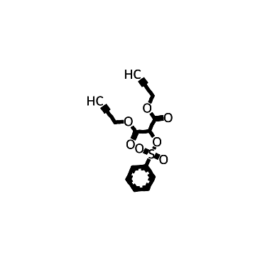 C#CCOC(=O)C(OS(=O)(=O)c1ccccc1)C(=O)OCC#C